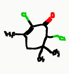 CC1=C(Cl)C(=O)C(Cl)C(C)(C)C1